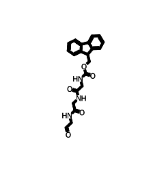 O=CCNC(=O)CNC(=O)CNC(=O)OCC1c2ccccc2-c2ccccc21